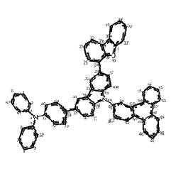 c1ccc(N(c2ccccc2)c2ccc(-c3ccc4c(c3)c3cc(-c5cccc6c5oc5ccccc56)ccc3n4-c3ccc4c5ccccc5c5ccccc5c4c3)cc2)cc1